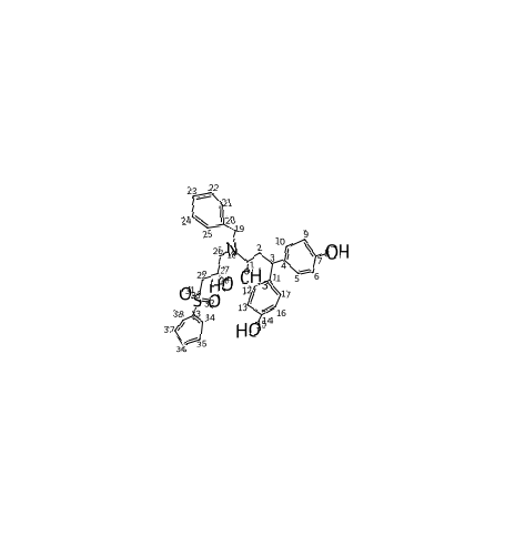 CC(CC(c1ccc(O)cc1)c1ccc(O)cc1)N(Cc1ccccc1)C[C@H](O)CS(=O)(=O)c1ccccc1